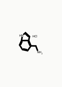 Cl.NCc1cccc2[nH]ccc12